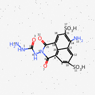 NNC(=O)NN1C(=O)c2cc(S(=O)(=O)O)cc3c(N)c(S(=O)(=O)O)cc(c23)C1=O